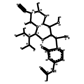 BC(C(OB(OC(C)CC#C)N(C(C)C)C(C)C)C(COB(C)I)OC)n1ccc(NC(=C)C)nc1=O